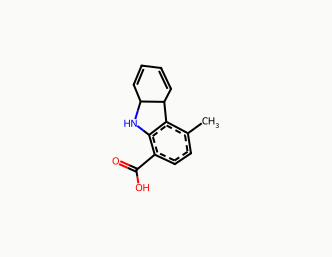 Cc1ccc(C(=O)O)c2c1C1C=CC=CC1N2